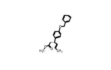 CC=C[C@H](CC(=O)OC)c1ccc(OCc2ccccc2)cc1